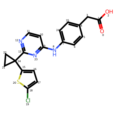 O=C(O)Cc1ccc(Nc2ccnc(C3(c4ccc(Cl)s4)CC3)n2)cc1